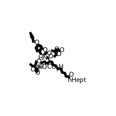 CC#CCOc1ccc(C[C@H](NC(=O)[C@@H](/C=C/CCCCCCC(=O)CCCCCCC)[C@@](O)(CC(=O)OCc2oc(=O)oc2C)C(=O)O)C(=O)OCc2oc(=O)oc2C)cc1